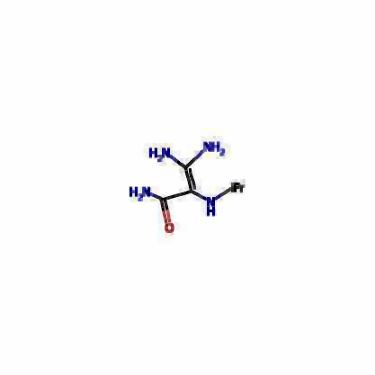 CC(C)NC(C(N)=O)=C(N)N